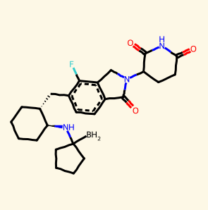 BC1(N[C@H]2CCCC[C@@H]2Cc2ccc3c(c2F)CN(C2CCC(=O)NC2=O)C3=O)CCCC1